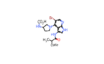 COC(C)C(=O)Nc1c[nH]c2ncc(Br)c(N3CCC(NC(=O)O)C3)c12